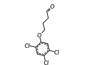 O=CCCCOc1cc(Cl)c(Cl)cc1Cl